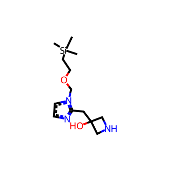 C[Si](C)(C)CCOCn1ccnc1CC1(O)CNC1